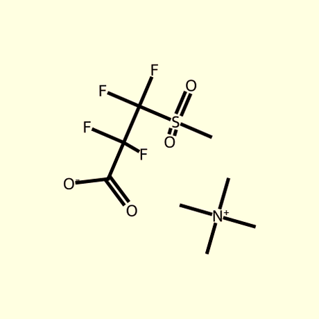 CS(=O)(=O)C(F)(F)C(F)(F)C(=O)[O-].C[N+](C)(C)C